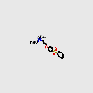 CCCCN(CCCC)CCCOc1ccc(S(=O)(=O)C2CCCCC2)cc1